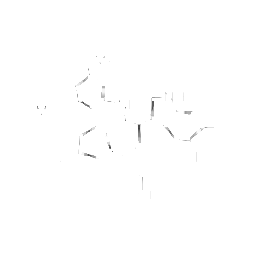 COc1cc(NC(C(=O)c2c[nH]c3cc(F)c(F)cc23)c2ccc(Cl)cc2OCCO)cc(SC)c1